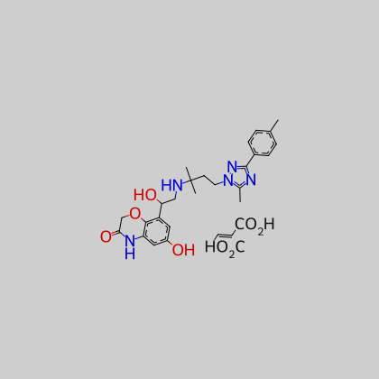 Cc1ccc(-c2nc(C)n(CCC(C)(C)NCC(O)c3cc(O)cc4c3OCC(=O)N4)n2)cc1.O=C(O)C=CC(=O)O